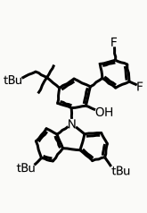 CC(C)(C)CC(C)(C)c1cc(-c2cc(F)cc(F)c2)c(O)c(-n2c3ccc(C(C)(C)C)cc3c3cc(C(C)(C)C)ccc32)c1